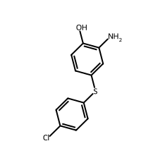 Nc1cc(Sc2ccc(Cl)cc2)ccc1O